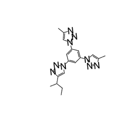 CCC(C)c1cn(-c2cc(-n3cc(C)nn3)cc(-n3cc(C)nn3)c2)nn1